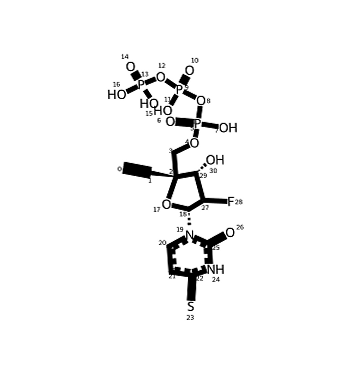 C#C[C@]1(COP(=O)(O)OP(=O)(O)OP(=O)(O)O)O[C@@H](n2ccc(=S)[nH]c2=O)C(F)[C@H]1O